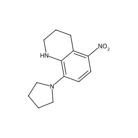 O=[N+]([O-])c1ccc(N2CCCC2)c2c1CCCN2